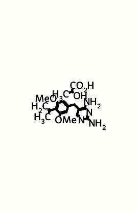 C=C(C)c1c(OC)cc(Cc2cnc(N)nc2N)cc1OC.CC(O)C(=O)O